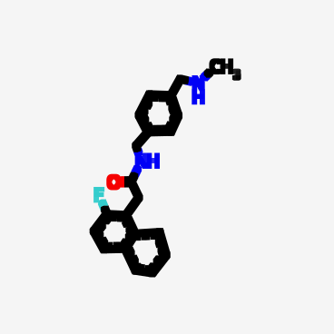 CNCc1ccc(CNC(=O)Cc2c(F)ccc3ccccc23)cc1